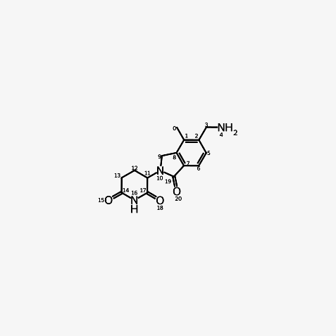 Cc1c(CN)ccc2c1CN(C1CCC(=O)NC1=O)C2=O